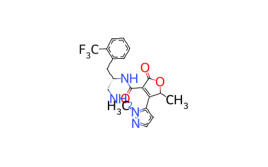 CC1OC(=O)C(C(=O)N[C@H](CN)Cc2ccccc2C(F)(F)F)=C1c1ccnn1C